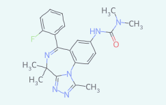 Cc1nnc2n1-c1ccc(NC(=O)N(C)C)cc1C(c1ccccc1F)=NC2(C)C